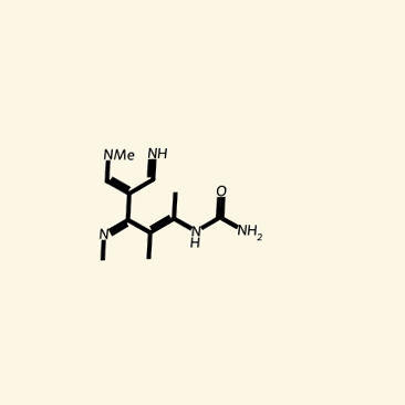 C/N=C(C(/C=N)=C/NC)\C(C)=C(/C)NC(N)=O